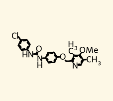 COc1c(C)cnc(COc2ccc(NC(=O)Nc3ccc(Cl)cc3)cc2)c1C